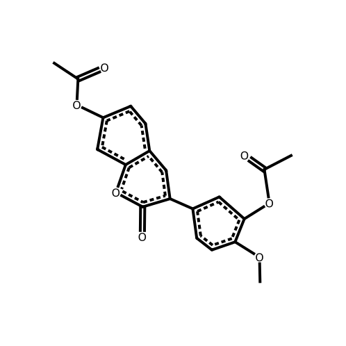 COc1ccc(-c2cc3ccc(OC(C)=O)cc3oc2=O)cc1OC(C)=O